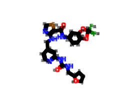 O=C(NCC1CCCO1)Nc1cc(CNc2ncsc2C(=O)Nc2ccc3c(c2)OC(F)(F)O3)ccn1